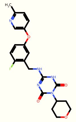 Cc1ccc(Oc2ccc(F)c(CNc3nc(=O)n(C4CCOCC4)c(=O)[nH]3)c2)cn1